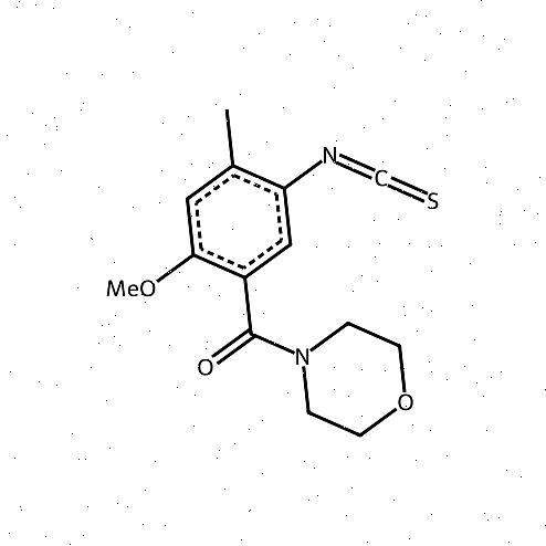 COc1cc(C)c(N=C=S)cc1C(=O)N1CCOCC1